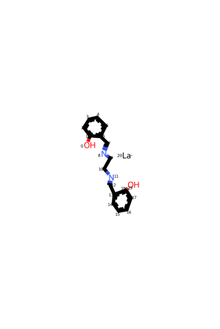 Oc1ccccc1/C=N/CC/N=C/c1ccccc1O.[La]